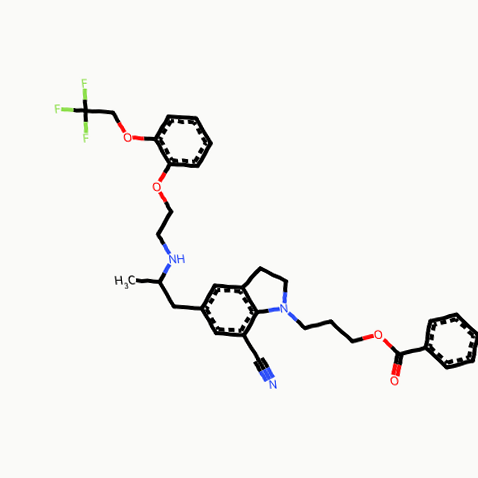 CC(Cc1cc(C#N)c2c(c1)CCN2CCCOC(=O)c1ccccc1)NCCOc1ccccc1OCC(F)(F)F